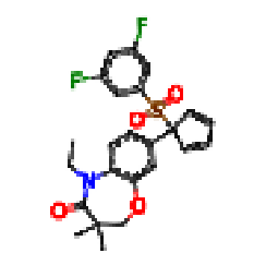 CCN1C(=O)C(C)(C)COc2cc(C3(S(=O)(=O)c4cc(F)cc(F)c4)C=CC=C3)ccc21